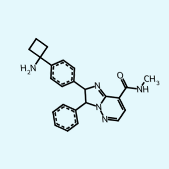 CNC(=O)C1=CC=NN2C1=NC(c1ccc(C3(N)CCC3)cc1)C2c1ccccc1